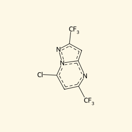 FC(F)(F)c1cc(Cl)n2nc(C(F)(F)F)cc2n1